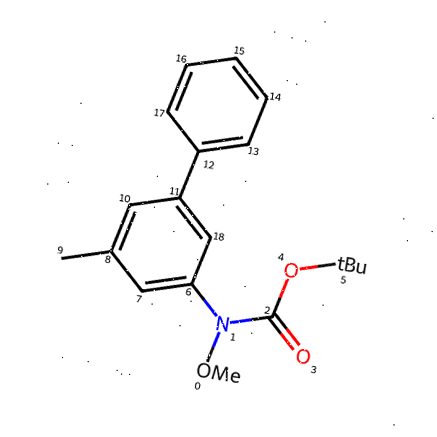 CON(C(=O)OC(C)(C)C)c1cc(C)cc(-c2ccccc2)c1